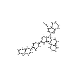 N#Cc1cc(-n2c3ccc(-c4ccc(-c5ccc6ccccc6c5)cc4)cc3c3c4ccccc4ccc32)nc2ccccc12